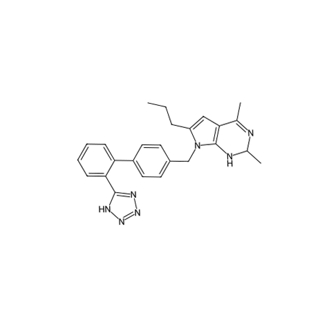 CCCc1cc2c(n1Cc1ccc(-c3ccccc3-c3nnn[nH]3)cc1)NC(C)N=C2C